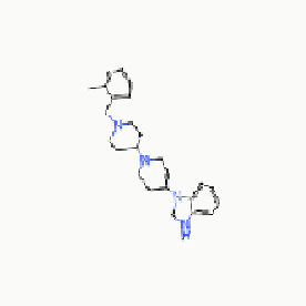 Cc1ccccc1CN1CCC(N2CCC(N3CNc4ccccc43)CC2)CC1